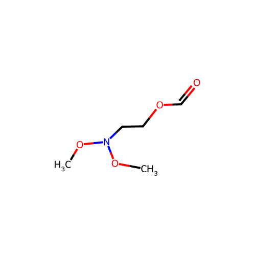 CON(CCOC=O)OC